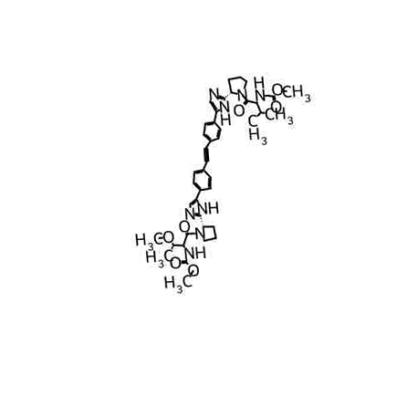 COC(=O)NC(C(=O)N1CCC[C@H]1c1ncc(-c2ccc(C#Cc3ccc(-c4cnc([C@@H]5CCCN5C(=O)[C@@H](NC(=O)OC)C(C)C)[nH]4)cc3)cc2)[nH]1)[C@@H](C)OC